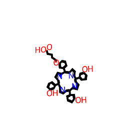 O=C(O)CCCCOc1cccc(C2=C3C=CC(=N3)C(c3cccc(O)c3)=C3C=CC(=N3)C(c3cccc(O)c3)=C3C=CC(=N3)C(c3cccc(O)c3)=C3C=CC2=N3)c1